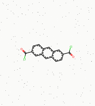 O=C(Cl)c1ccc2cc3cc(C(=O)Cl)ccc3cc2c1